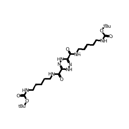 CC(C)(C)OC(=O)NCCCCCNC(=O)C1=NNC(C(=O)NCCCCCNC(=O)OC(C)(C)C)=NN1